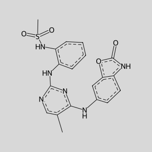 Cc1cnc(Nc2ccccc2NS(C)(=O)=O)nc1Nc1ccc2[nH]c(=O)oc2c1